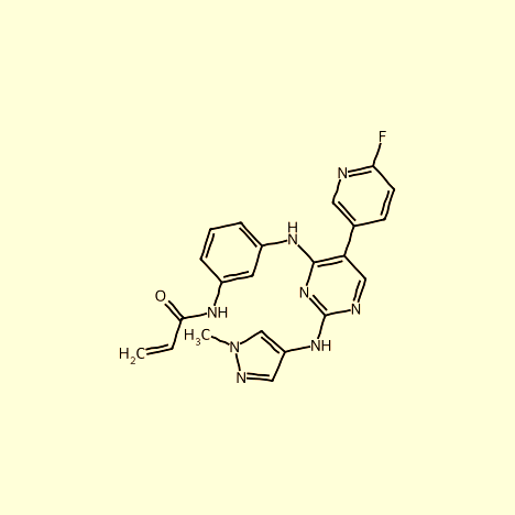 C=CC(=O)Nc1cccc(Nc2nc(Nc3cnn(C)c3)ncc2-c2ccc(F)nc2)c1